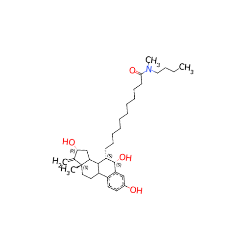 C=C1[C@H](O)CC2C3C(CC[C@]12C)c1ccc(O)cc1[C@@H](O)[C@H]3CCCCCCCCCCC(=O)N(C)CCCC